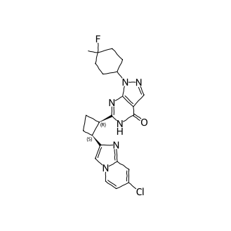 CC1(F)CCC(n2ncc3c(=O)[nH]c([C@@H]4CC[C@@H]4c4cn5ccc(Cl)cc5n4)nc32)CC1